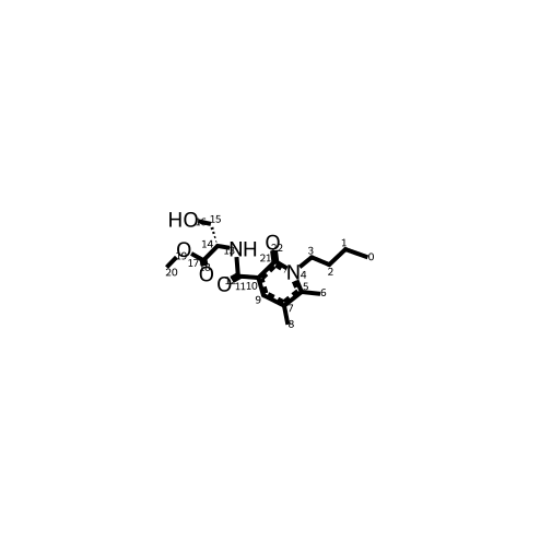 CCCCn1c(C)c(C)cc(C(=O)N[C@@H](CO)C(=O)OC)c1=O